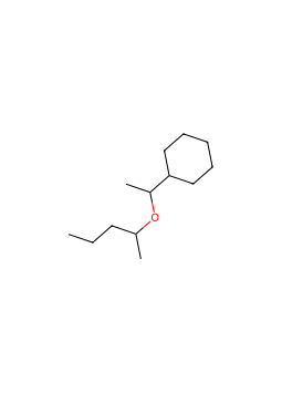 CCCC(C)OC(C)C1CCCCC1